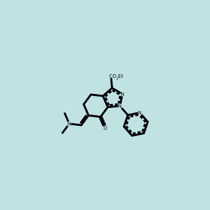 CCOC(=O)c1nn(-c2ccccn2)c2c1CCC(=CN(C)C)C2=O